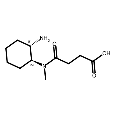 CN(C(=O)CCC(=O)O)[C@H]1CCCC[C@@H]1N